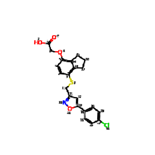 O=C(O)COc1ccc(SCc2cc(-c3ccc(Cl)cc3)on2)c2c1CCC2